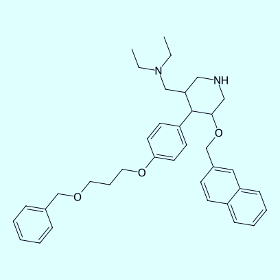 CCN(CC)CC1CNCC(OCc2ccc3ccccc3c2)C1c1ccc(OCCCOCc2ccccc2)cc1